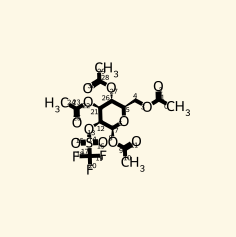 CC(=O)OC[C@H]1O[C@@H](OC(C)=O)[C@@H](OS(=O)(=O)C(F)(F)F)[C@@H](OC(C)=O)[C@@H]1OC(C)=O